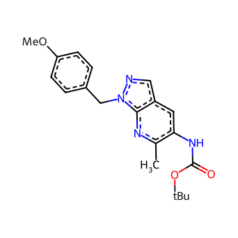 COc1ccc(Cn2ncc3cc(NC(=O)OC(C)(C)C)c(C)nc32)cc1